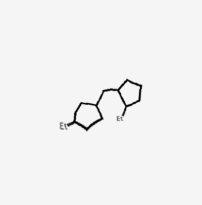 CCC1CC[C](CC2CCCC2CC)C1